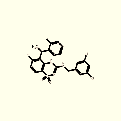 CC(c1ccccc1F)c1c(F)ccc2c1NC(NCc1cc(Cl)cc(Cl)c1)=NS2(=O)=O